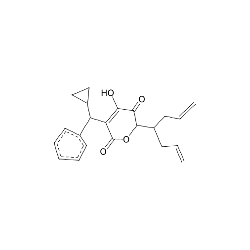 C=CCC(CC=C)C1OC(=O)C(C(c2ccccc2)C2CC2)=C(O)C1=O